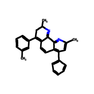 Cc1cccc(C2=c3ccc4c(-c5ccccc5)cc(C)nc4c3=NC(C)C2)c1